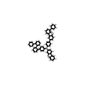 c1ccc(-c2ccccc2-c2ccccc2-c2ccc(N(c3ccc(-c4ccc5oc6c(-c7ccccc7)cccc6c5c4)cc3)c3ccc4c(c3)sc3ccccc34)cc2)cc1